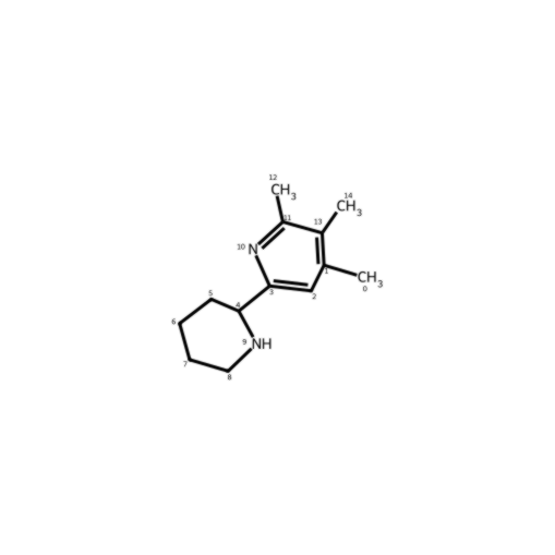 Cc1cc(C2CCCCN2)nc(C)c1C